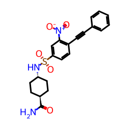 NC(=O)[C@H]1CC[C@H](NS(=O)(=O)c2ccc(C#Cc3ccccc3)c([N+](=O)[O-])c2)CC1